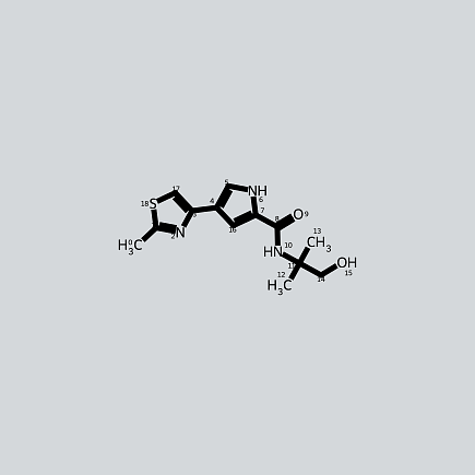 Cc1nc(-c2c[nH]c(C(=O)NC(C)(C)CO)c2)cs1